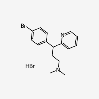 Br.CN(C)CCC(c1ccc(Br)cc1)c1ccccn1